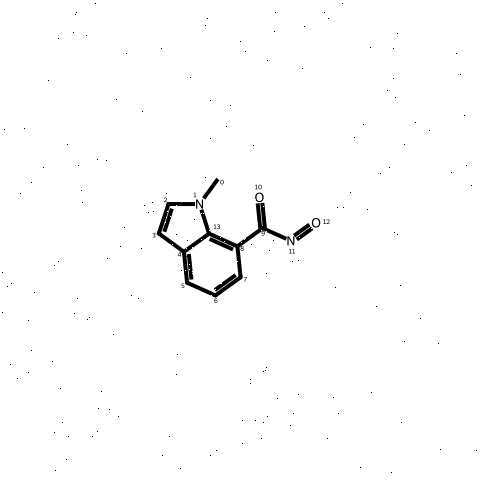 Cn1ccc2cccc(C(=O)N=O)c21